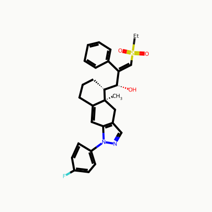 CCS(=O)(=O)/C=C(\c1ccccc1)[C@H](O)[C@H]1CCCC2=Cc3c(cnn3-c3ccc(F)cc3)C[C@@]21C